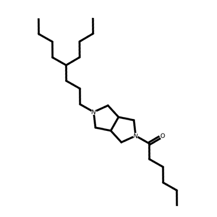 CCCCCC(=O)N1CC2CN(CCCC(CCCC)CCCC)CC2C1